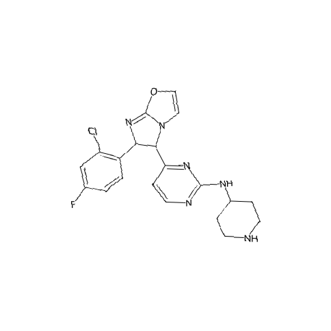 Fc1ccc(C2N=C3OC=CN3C2c2ccnc(NC3CCNCC3)n2)c(Cl)c1